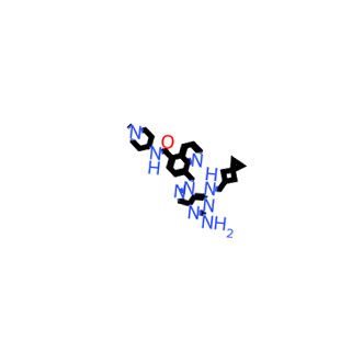 CN1CCC(NC(=O)c2ccc(Cn3ncc4nc(N)nc(NCC5CC6(CC6)C5)c43)c3ncccc23)CC1